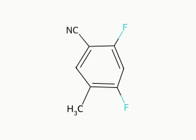 Cc1cc(C#N)c(F)cc1F